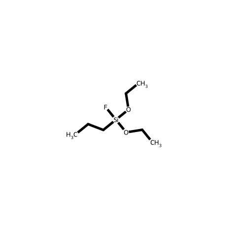 CCC[Si](F)(OCC)OCC